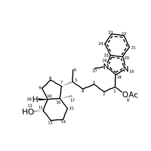 CC(=O)OC(CCCC(C)[C@H]1CC[C@H]2[C@@H](O)CCC[C@]12C)c1nc2ccccc2n1C